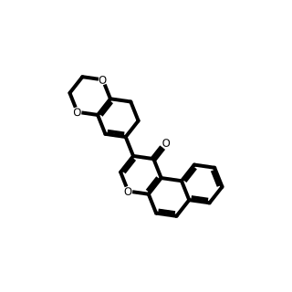 O=c1c(C2=CC3=C(CC2)OCCO3)coc2ccc3ccccc3c12